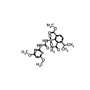 COC(=O)c1ccc(C(C)C)c(C(N)=O)c1S(=O)(=O)NC(=O)Nc1nc(OC)cc(OC)n1